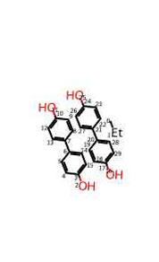 CCC.Oc1ccc(-c2ccc(O)cc2)cc1.Oc1ccc(-c2ccc(O)cc2)cc1